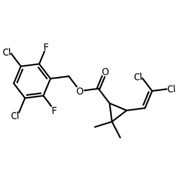 CC1(C)C(C=C(Cl)Cl)C1C(=O)OCc1c(F)c(Cl)cc(Cl)c1F